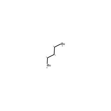 CCC(C)CCCC(C)CC